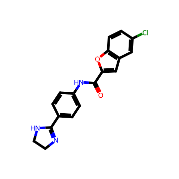 O=C(Nc1ccc(C2=NCCN2)cc1)c1cc2cc(Cl)ccc2o1